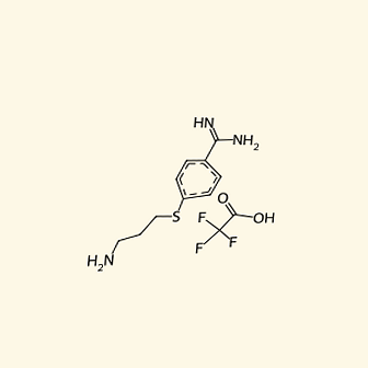 N=C(N)c1ccc(SCCCN)cc1.O=C(O)C(F)(F)F